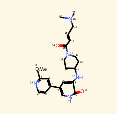 COc1cc(-c2c[nH]c(=O)c(NC3CCN(C(=O)C=CCN(C)C)CC3)c2)ccn1